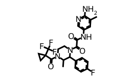 Cc1cc(NC(=O)C(=O)N2CCN(C(=O)C3(C(F)(F)F)CC3)C(C)C2c2ccc(F)cc2)cnc1N